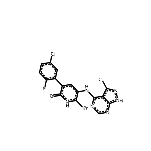 CC(C)c1[nH]c(=O)c(-c2cc(Cl)ccc2F)cc1Nc1ncnc2[nH]nc(Cl)c12